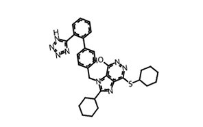 Oc1nnc(SC2CCCCC2)c2nc(C3CCCCC3)n(Cc3ccc(-c4ccccc4-c4nnn[nH]4)cc3)c12